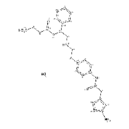 Cl.Nc1nc(CC(=O)Nc2ccc(CCNCC(OC(=O)CCC(=O)O)c3ccccc3)cc2)cs1